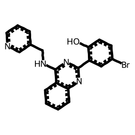 Oc1ccc(Br)cc1-c1nc(NCc2cccnc2)c2ccccc2n1